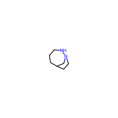 [CH]1CCC2CCN(C2)N1